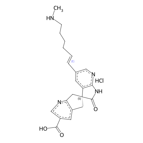 CNCCCC/C=C/c1cnc2c(c1)[C@@]1(Cc3cc(C(=O)O)cnc3C1)C(=O)N2.Cl